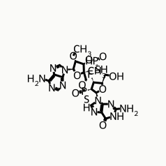 CO[C@H]1[C@H](n2cnc3c(N)ncnc32)O[C@](C)(COP(=O)(S)[C@@H]2[C@H](F)[C@@H](CO)O[C@H]2n2cnc3c(=O)[nH]c(N)nc32)[C@H]1O[PH](=O)S